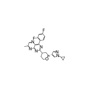 Cc1cnc2c(-c3ccc(F)cc3F)nc(C3CCO[C@@H](c4cnn(C5CC5)c4)C3)nc2n1